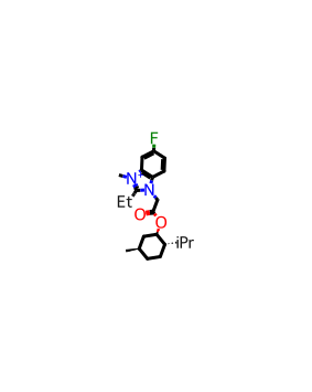 CCc1n(CC(=O)O[C@@H]2C[C@H](C)CC[C@H]2C(C)C)c2ccc(F)cc2[n+]1C